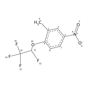 Cc1cc([N+](=O)[O-])ccc1OC(F)C(F)(F)F